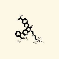 C[C@H](N)c1ccccc1.C[Si](C)(C)CCOCN1C(=O)[C@]2(Cc3cc(C(=O)O)cnc3C2)c2cccnc21